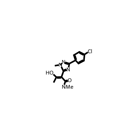 CNC(=O)/C(=C(\C)O)c1nc(-c2ccc(Cl)cc2)nn1C